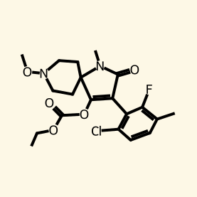 CCOC(=O)OC1=C(c2c(Cl)ccc(C)c2F)C(=O)N(C)C12CCN(OC)CC2